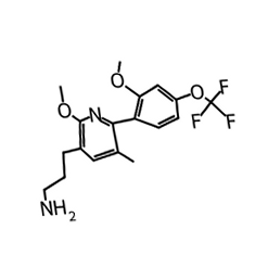 COc1cc(OC(F)(F)F)ccc1-c1nc(OC)c(CCCN)cc1C